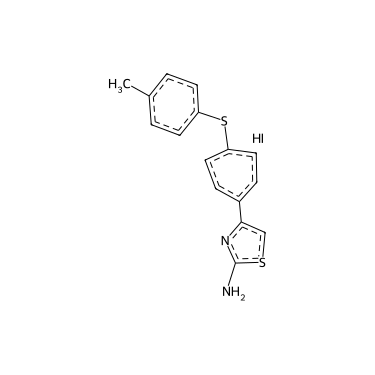 Cc1ccc(Sc2ccc(-c3csc(N)n3)cc2)cc1.I